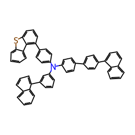 c1cc(-c2cccc3ccccc23)cc(N(c2ccc(-c3ccc(-c4cccc5ccccc45)cc3)cc2)c2ccc(-c3cccc4sc5ccccc5c34)cc2)c1